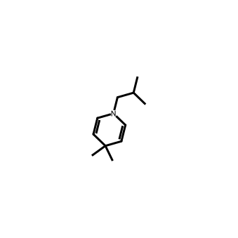 CC(C)CN1C=CC(C)(C)C=C1